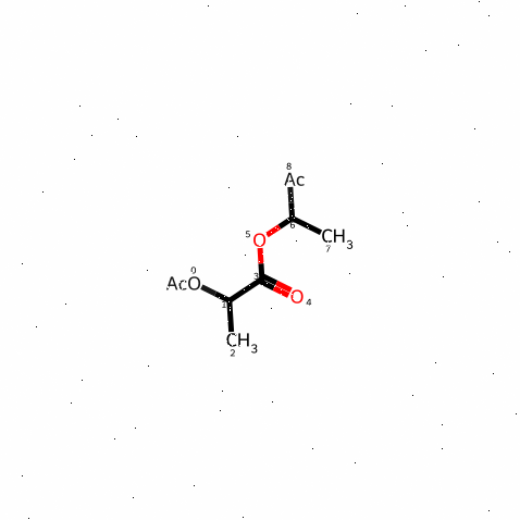 CC(=O)OC(C)C(=O)OC(C)C(C)=O